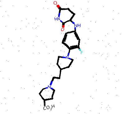 O=C1CCC(Nc2ccc(N3CCC(CCN4CCC(C(=O)O)CC4)CC3)c(F)c2)C(=O)N1